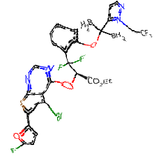 BC(B)(Oc1ccccc1C(F)(F)[C@H](Oc1ncnc2sc(-c3ccc(F)o3)c(Br)c12)C(=O)OCC)c1ccnn1CC(F)(F)F